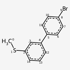 CSc1[c]c(-c2ccc(Br)cc2)ccc1